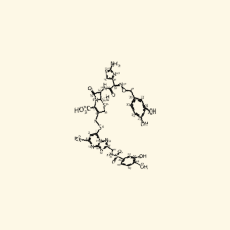 CCc1cc(SCC2=C(C(=O)O)N3C(=O)[C@@H](NC(=O)/C(=N\OCc4ccc(O)c(O)c4)c4csc(N)n4)[C@H]3SC2)n2nc(CNS(=O)(=O)c3ccc(O)c(O)c3)nc2n1